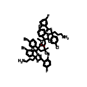 COC(CC(=O)[C@@](C)(CC(OC)(C(=O)N1N=C(c2cc(F)ccc2F)SC1(CCCN)c1ccc(Br)cc1)c1ccc(Br)cc1)OC)(C(=O)N1N=C(c2cc(F)ccc2F)SC1(CCCN)c1ccc(Cl)cc1)c1ccc(Cl)cc1